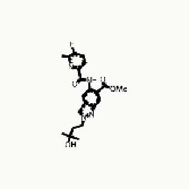 COC(=O)c1cc2nn(CCC(C)(C)O)cc2cc1NC(=O)c1ccc(F)c(C)n1